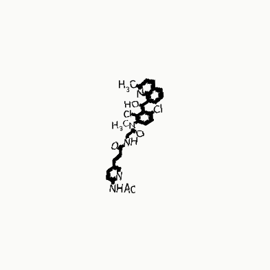 CC(=O)Nc1ccc(/C=C/C(=O)NCC(=O)N(C)c2ccc(Cl)c(C(O)c3cccc4ccc(C)nc34)c2Cl)cn1